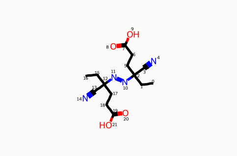 CCC(C#N)(CCC(=O)O)/N=N/C(C#N)(CC)CCC(=O)O